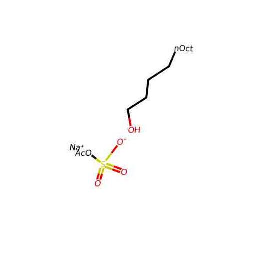 CC(=O)OS(=O)(=O)[O-].CCCCCCCCCCCCO.[Na+]